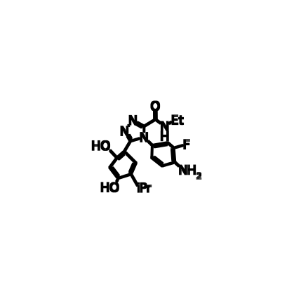 CCNC(=O)c1nnc(-c2cc(C(C)C)c(O)cc2O)n1-c1ccc(N)c(F)c1